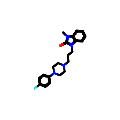 Cn1c(=O)n(CCCN2CCN(c3ccc(F)cc3)CC2)c2ccccc21